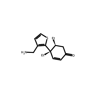 CC[C@H]1CC(=O)C=C[C@]1(CC)c1sccc1CN